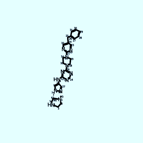 CN1CCNC[C@@H]1Cn1cc(Nc2ncnc(N3CCN(c4ncc(Cc5ccccc5)cn4)CC3)n2)cn1